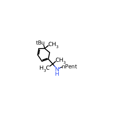 CCCCCNC(C)(C)C1=CC=CC(C)(C(C)(C)C)C1